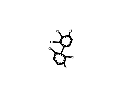 Clc1[c]cc(Cl)c(-c2ccc(Cl)c(Cl)c2Cl)c1Cl